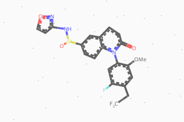 COc1cc(CC(F)(F)F)c(F)cc1-n1c(=O)ccc2cc([S+]([O-])Nc3ccon3)ccc21